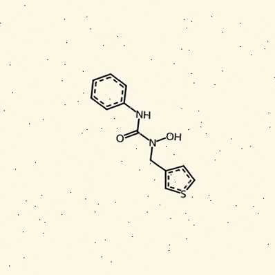 O=C(Nc1ccccc1)N(O)Cc1ccsc1